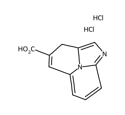 Cl.Cl.O=C(O)C1=Cc2cccc3ncc(n23)C1